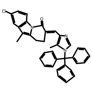 Cc1c2n(c3ccc(Cl)cc13)C(=O)C(=Cc1ncn(C(c3ccccc3)(c3ccccc3)c3ccccc3)c1C)CC2